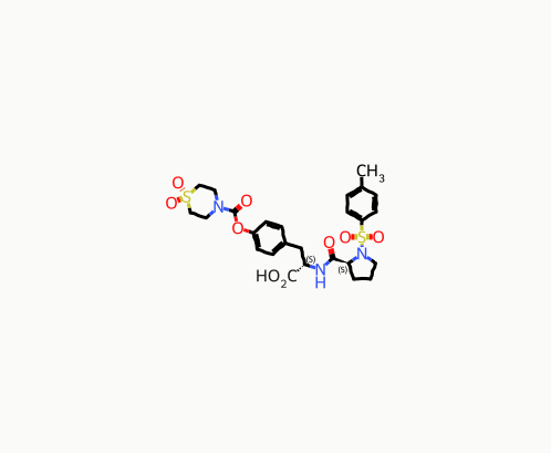 Cc1ccc(S(=O)(=O)N2CCC[C@H]2C(=O)N[C@@H](Cc2ccc(OC(=O)N3CCS(=O)(=O)CC3)cc2)C(=O)O)cc1